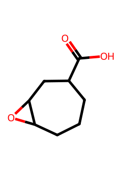 O=C(O)C1CCCC2OC2C1